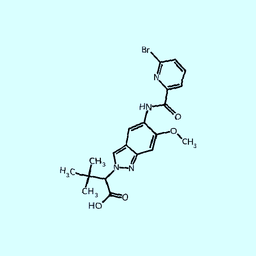 COc1cc2nn(C(C(=O)O)C(C)(C)C)cc2cc1NC(=O)c1cccc(Br)n1